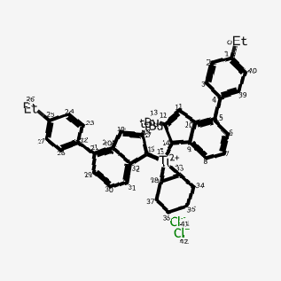 CCc1ccc(-c2cccc3c2C=C(C(C)(C)C)[CH]3[Ti+2]2([CH]3C(C(C)(C)C)=Cc4c(-c5ccc(CC)cc5)cccc43)[CH]3CCCC[CH]32)cc1.[Cl-].[Cl-]